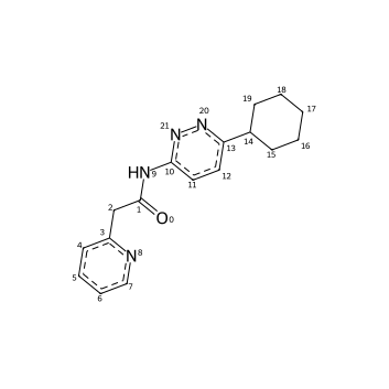 O=C(Cc1ccccn1)Nc1ccc(C2CCCCC2)nn1